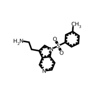 Cc1cccc(S(=O)(=O)n2cc(CCN)c3cnccc32)c1